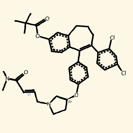 CN(C)C(=O)/C=C/CN1CC[C@H](Oc2ccc(C3=C(c4ccc(Cl)cc4Cl)CCCc4cc(OC(=O)C(C)(C)C)ccc43)cc2)C1